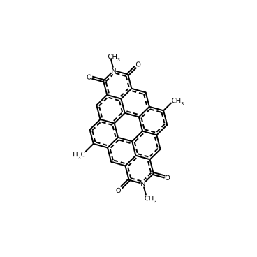 Cc1cc2cc3c(=O)n(C)c(=O)c4cc5c(C)cc6cc7c(=O)n(C)c(=O)c8cc1c1c2c(c34)c5c6c1c78